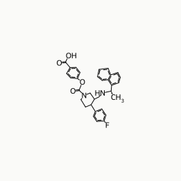 C[C@@H](NCC1CN(C(=O)Oc2ccc(C(=O)O)cc2)CCC1c1ccc(F)cc1)c1cccc2ccccc12